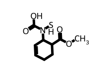 COC(=O)C1CCC=CC1N(S)C(=O)O